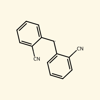 N#Cc1ccccc1[CH]c1ccccc1C#N